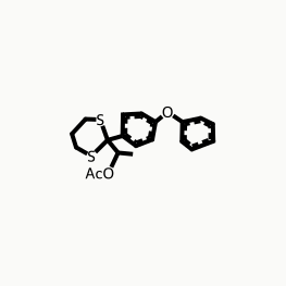 CC(=O)OC(C)C1(c2ccc(Oc3ccccc3)cc2)SCCCS1